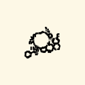 CO[C@H]1/C=C/COC(C)(C)C(=O)N=S(=O)(NC(=O)c2ccccc2)c2ccc3c(c2)N(C[C@@H]2CC[C@H]21)C[C@@]1(CCCc2cc(Cl)ccc21)CO3